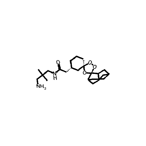 CC(C)(CN)CNC(=O)C[C@@H]1CCC[C@]2(C1)OO[C@]1(O2)C2CC3CC(C2)C1C3